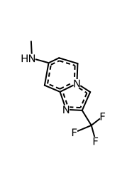 CNc1ccn2cc(C(F)(F)F)nc2c1